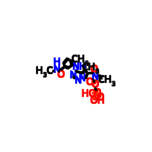 CCNC(=O)c1ccc(C)c(NC2=NC=NN3CC(C(=O)N(CC)C(=O)OCOP(=O)(O)O)C(C)=C23)c1